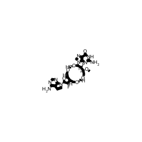 CO[C@@H]1COPOC[C@H]2[C@H](F)[C@H](n3ccc4c(N)ncnc43)O[C@@H]2COPO[C@@H](n2cnc3c(=O)[nH]c(N)nc32)[C@H]1F